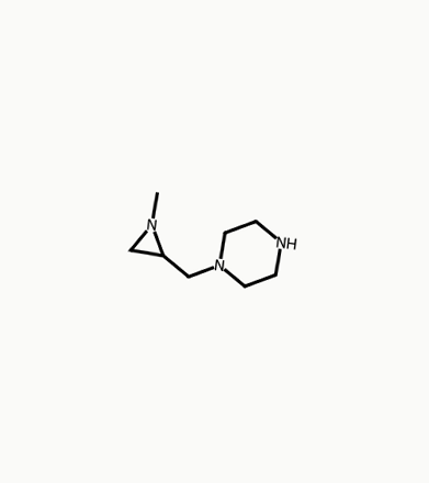 CN1CC1CN1CCNCC1